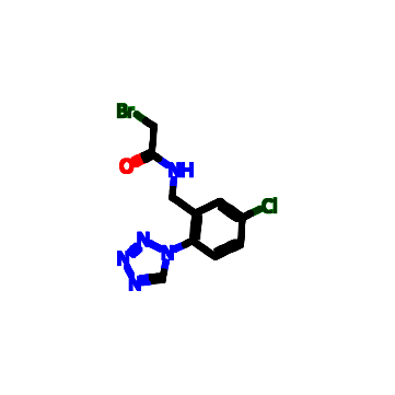 O=C(CBr)NCc1cc(Cl)ccc1-n1cnnn1